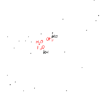 O.O.O.[KH].[Mo]